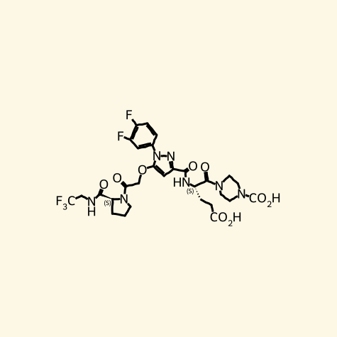 O=C(O)CC[C@H](NC(=O)c1cc(OCC(=O)N2CCC[C@H]2C(=O)NCC(F)(F)F)n(-c2ccc(F)c(F)c2)n1)C(=O)N1CCN(C(=O)O)CC1